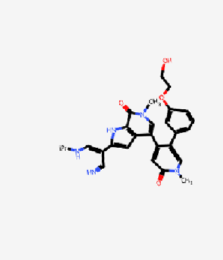 CC(C)N/C=C(\C=N)c1cc2c(-c3cc(=O)n(C)cc3-c3cccc(OCCO)c3)cn(C)c(=O)c2[nH]1